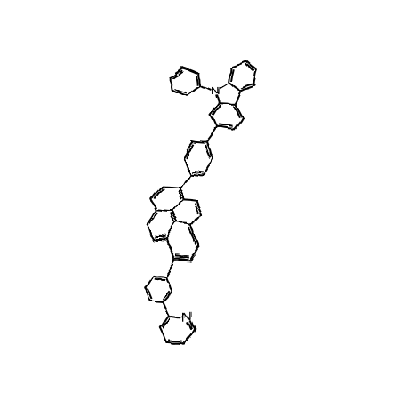 c1ccc(-n2c3ccccc3c3ccc(-c4ccc(-c5ccc6ccc7c(-c8cccc(-c9ccccn9)c8)ccc8ccc5c6c87)cc4)cc32)cc1